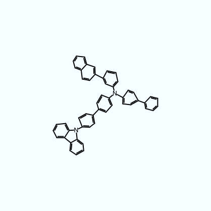 c1ccc(-c2ccc(N(c3ccc(-c4ccc(-n5c6ccccc6c6ccccc65)cc4)cc3)c3cccc(-c4ccc5ccccc5c4)c3)cc2)cc1